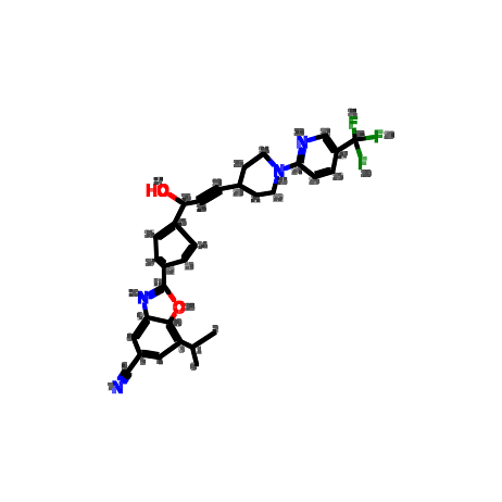 CC(C)c1cc(C#N)cc2nc(-c3ccc(C(O)C#CC4CCN(c5ccc(C(F)(F)F)cn5)CC4)cc3)oc12